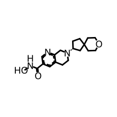 O=C(NO)c1cnc2c(c1)CCN([C@@H]1CCC3(CCOCC3)C1)C2